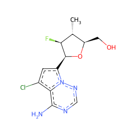 C[C@H]1[C@H](F)[C@H](c2cc(Cl)c3c(N)ncnn23)O[C@@H]1CO